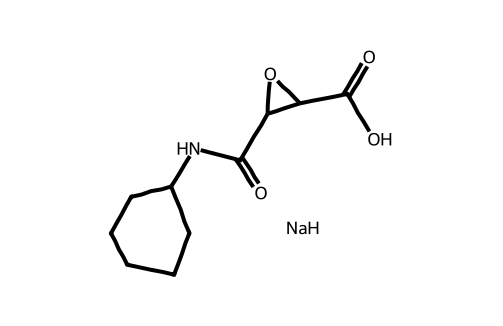 O=C(O)C1OC1C(=O)NC1CCCCC1.[NaH]